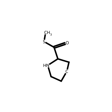 CSC(=O)C1CCCCN1